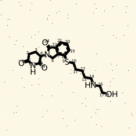 O=C1CCC(N2Cc3c(SCCCCCNCCO)cccc3C2=O)C(=O)N1